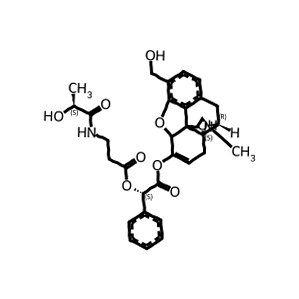 C[C@H](O)C(=O)NCCC(=O)O[C@H](C(=O)OC1=CC[C@@]2(O)[C@H]3Cc4ccc(CO)c5c4C2(CCN3C)C1O5)c1ccccc1